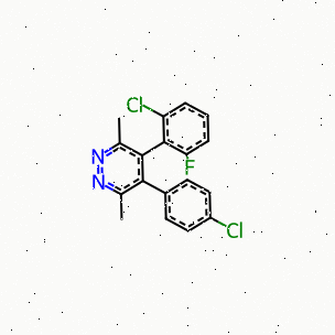 Cc1nnc(C)c(-c2c(F)cccc2Cl)c1-c1ccc(Cl)cc1